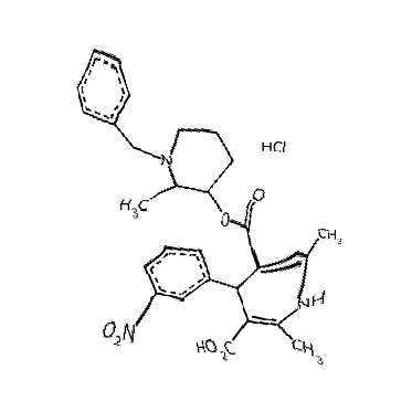 CC1=C(C(=O)O)C(c2cccc([N+](=O)[O-])c2)C(C(=O)OC2CCCN(Cc3ccccc3)C2C)=C(C)N1.Cl